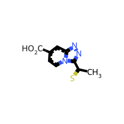 CC(=S)c1nnc2cc(C(=O)O)ccn12